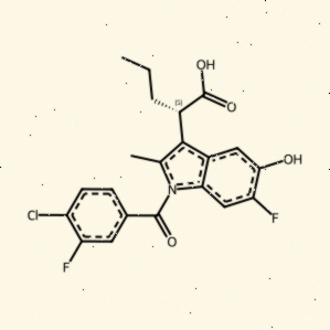 CCC[C@H](C(=O)O)c1c(C)n(C(=O)c2ccc(Cl)c(F)c2)c2cc(F)c(O)cc12